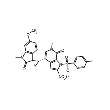 Cc1ccc(S(=O)(=O)n2c(C(=O)O)cc3c([C@@H]4C[C@@]45C(=O)N(C)c4cc(OC(F)(F)F)ccc45)cn(C)c(=O)c32)cc1